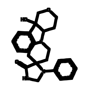 O=C1NCN(c2ccccc2)C12CCN(C1CCOCC1(O)c1ccccc1)CC2